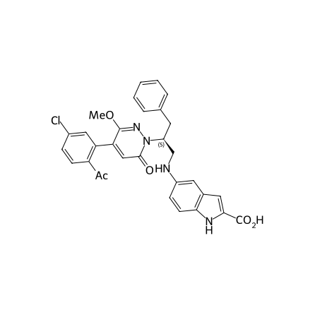 COc1nn([C@H](CNc2ccc3[nH]c(C(=O)O)cc3c2)Cc2ccccc2)c(=O)cc1-c1cc(Cl)ccc1C(C)=O